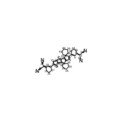 N#CC(C#N)=C1C=C(C2=CC3=C(c4sc5cc(C6=CC(=C(C#N)C#N)CCC6)sc5c4C34CCCCC4)C23CCCCC3)CCC1